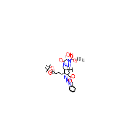 CC(C)(C)OC(=O)N[C@@H](CO)C(=O)N1CC2[C@H](C1)C[C@@](N=[N+]=[N-])(C(=O)OCc1ccccc1)[C@H]2CCCB1OC(C)(C)C(C)(C)O1